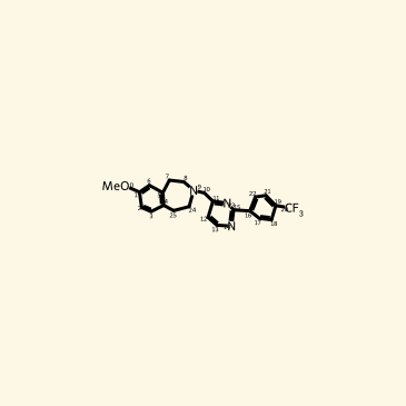 COc1ccc2c(c1)CCN(Cc1ccnc(-c3ccc(C(F)(F)F)cc3)n1)CC2